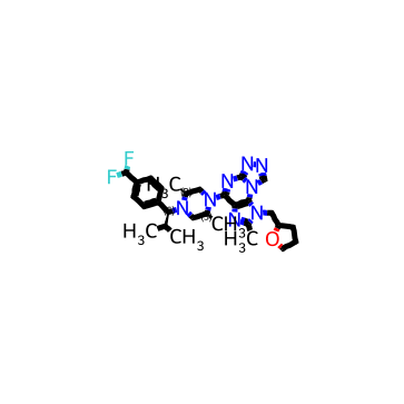 Cc1nc2c(N3C[C@@H](C)N([C@H](c4ccc(C(F)F)cc4)C(C)C)C[C@@H]3C)nc3nncn3c2n1CC1CCCO1